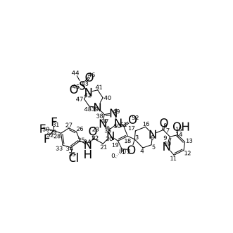 C[C@H]1OC2(CCN(C(=O)c3ncccc3O)CC2)c2c1n(CC(=O)Nc1ccc(C(F)(F)F)cc1Cl)c1nc(N3CCN(S(C)(=O)=O)CC3)nn1c2=O